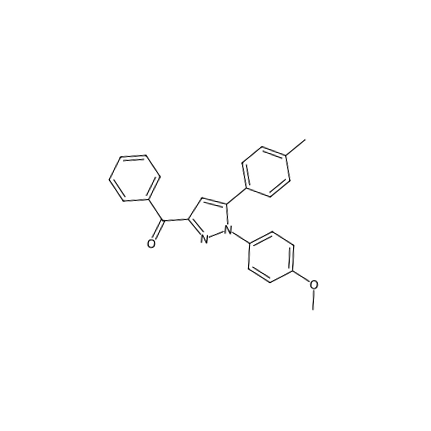 COc1ccc(-n2nc(C(=O)c3ccccc3)cc2-c2ccc(C)cc2)cc1